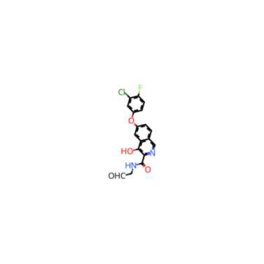 O=CCNC(=O)c1ncc2ccc(Oc3ccc(F)c(Cl)c3)cc2c1O